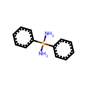 NS(N)(c1ccccc1)c1ccccc1